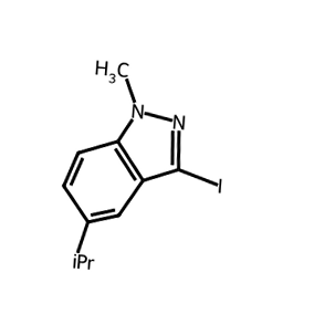 CC(C)c1ccc2c(c1)c(I)nn2C